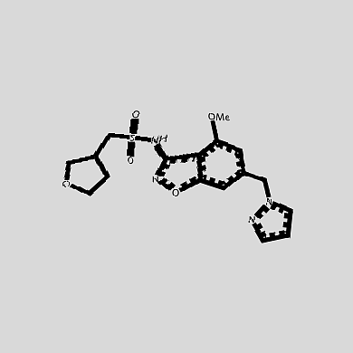 COc1cc(Cn2cccn2)cc2onc(NS(=O)(=O)CC3CCOC3)c12